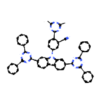 Cc1nc(C)nc(-c2ccc(-n3c4cc(-c5nc(-c6ccccc6)nc(-c6ccccc6)n5)ccc4c4ccc(-c5nc(-c6ccccc6)nc(-c6ccccc6)n5)cc43)cc2C#N)n1